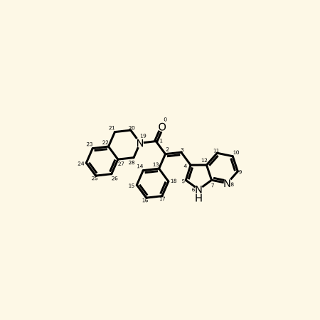 O=C(C(=Cc1c[nH]c2ncccc12)c1ccccc1)N1CCc2ccccc2C1